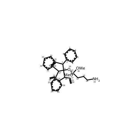 C=CC(c1ccccc1)C(O[Si](CCCN)(OC)OC)(C(C=C)c1ccccc1)C(C=C)c1ccccc1